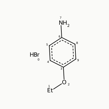 Br.CCOc1ccc(N)cc1